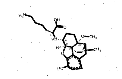 CO[C@@]12CC[C@@H](N[C@@H](CCCCN)C(=O)O)[C@@H]3Oc4c(O)ccc5c4[C@@]31CCN(C)C2C5